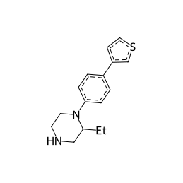 CCC1CNCCN1c1ccc(-c2ccsc2)cc1